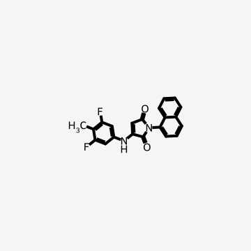 Cc1c(F)cc(NC2=CC(=O)N(c3cccc4ccccc34)C2=O)cc1F